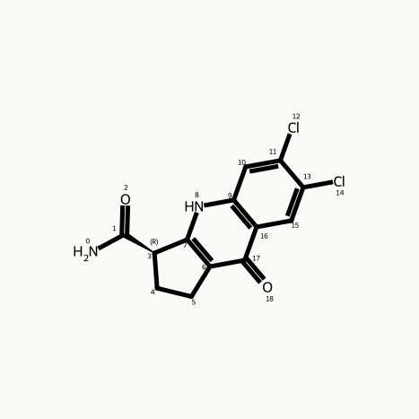 NC(=O)[C@@H]1CCc2c1[nH]c1cc(Cl)c(Cl)cc1c2=O